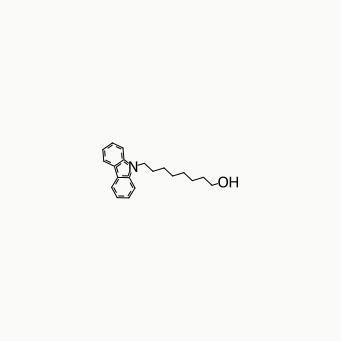 OCCCCCCCCn1c2ccccc2c2ccccc21